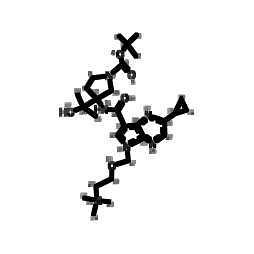 CC(C)(C)OC(=O)N1CCC(NC(=O)c2cn(COCC[Si](C)(C)C)c3ncc(C4CC4)nc23)(C(C)(C)O)C1